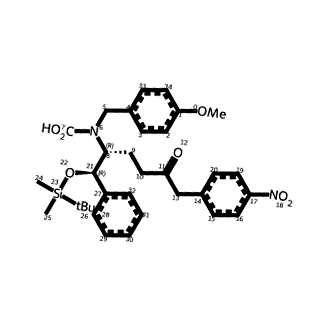 COc1ccc(CN(C(=O)O)[C@H](CCC(=O)Cc2ccc([N+](=O)[O-])cc2)[C@H](O[Si](C)(C)C(C)(C)C)c2ccccc2)cc1